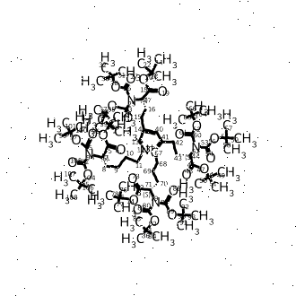 CC(C)(C)OC(=O)[C@H](CCCC[n+]1cc(CC[C@@H](C(=O)OC(C)(C)C)N(C(=O)OC(C)(C)C)C(=O)OC(C)(C)C)cc(CC[C@@H](C(=O)OC(C)(C)C)N(C(=O)OC(C)(C)C)C(=O)OC(C)(C)C)[13c]1CCC[C@@H](C(=O)OC(C)(C)C)N(C(=O)OC(C)(C)C)C(=O)OC(C)(C)C)N(C(=O)OC(C)(C)C)C(=O)OC(C)(C)C